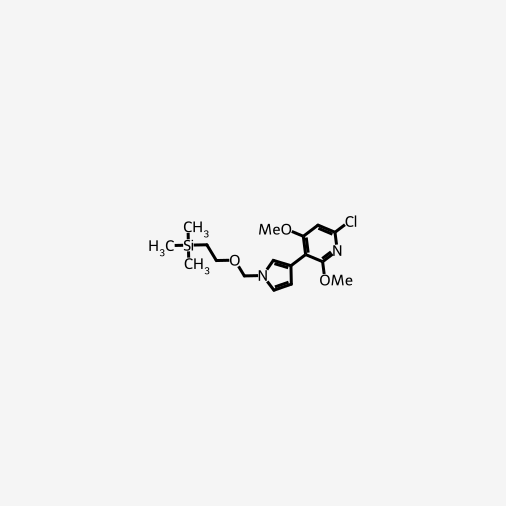 COc1cc(Cl)nc(OC)c1-c1ccn(COCC[Si](C)(C)C)c1